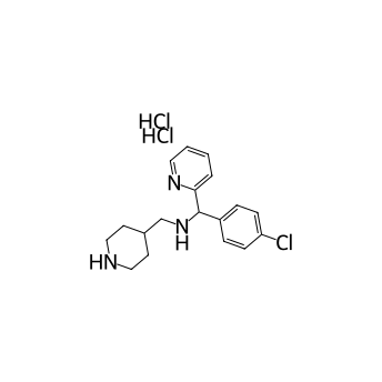 Cl.Cl.Clc1ccc(C(NCC2CCNCC2)c2ccccn2)cc1